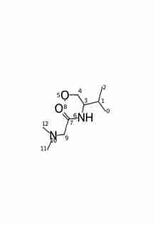 CC(C)C(C[O])NC(=O)CN(C)C